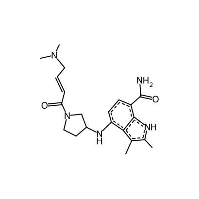 Cc1[nH]c2c(C(N)=O)ccc(NC3CCN(C(=O)C=CCN(C)C)C3)c2c1C